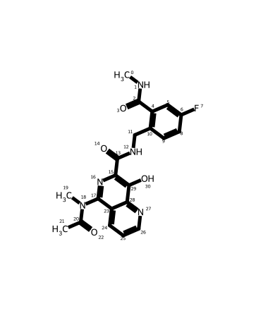 CNC(=O)c1cc(F)ccc1CNC(=O)c1nc(N(C)C(C)=O)c2cccnc2c1O